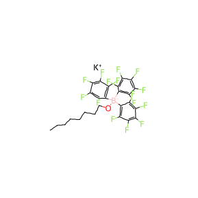 CCCCCCCCO[B-](c1c(F)c(F)c(F)c(F)c1F)(c1c(F)c(F)c(F)c(F)c1F)c1c(F)c(F)c(F)c(F)c1F.[K+]